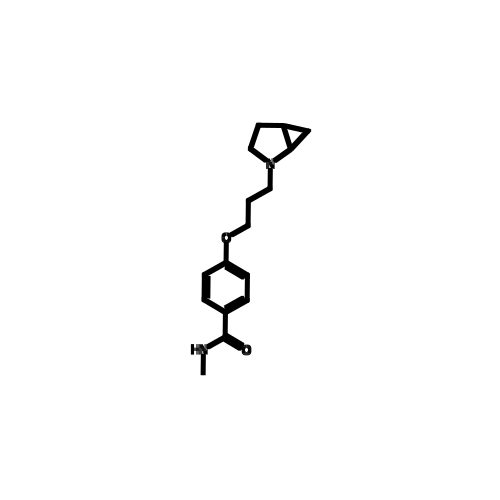 CNC(=O)c1ccc(OCCCN2CCC3CC32)cc1